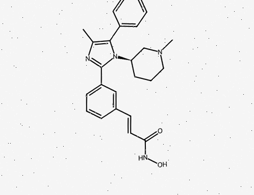 Cc1nc(-c2cccc(C=CC(=O)NO)c2)n([C@@H]2CCCN(C)C2)c1-c1ccccc1